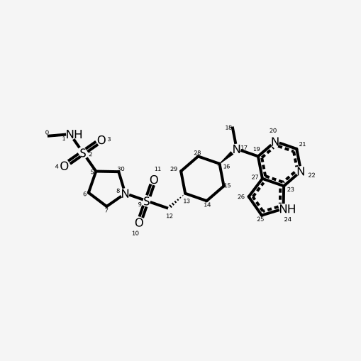 CNS(=O)(=O)C1CCN(S(=O)(=O)C[C@H]2CC[C@H](N(C)c3ncnc4[nH]ccc34)CC2)C1